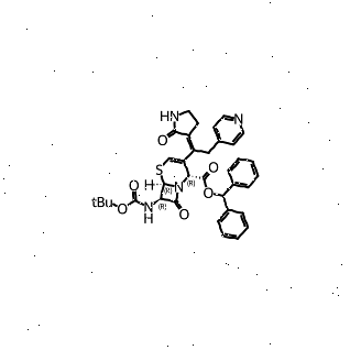 CC(C)(C)OC(=O)N[C@@H]1C(=O)N2[C@@H](C(=O)OC(c3ccccc3)c3ccccc3)C(C(Cc3ccncc3)=C3CCNC3=O)=CS[C@H]12